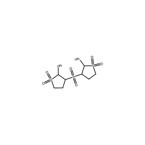 CCCC1C(S(=O)(=O)C2CCS(=O)(=O)C2CCC)CCS1(=O)=O